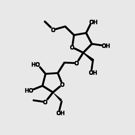 COCC1O[C@@](CO)(OCC2O[C@@](CO)(OC)C(O)C2O)C(O)C1O